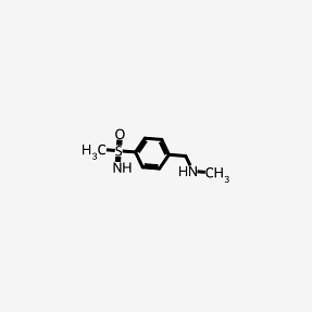 CNCc1ccc(S(C)(=N)=O)cc1